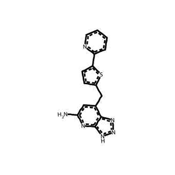 Nc1cc(Cc2ccc(-c3ccccn3)s2)c2nn[nH]c2n1